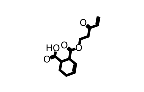 C=CC(=O)CCOC(=O)C1C=CCCC1C(=O)O